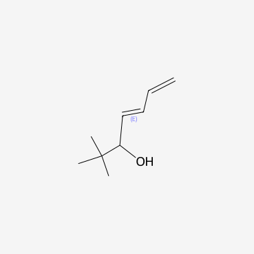 C=C/C=C/C(O)C(C)(C)C